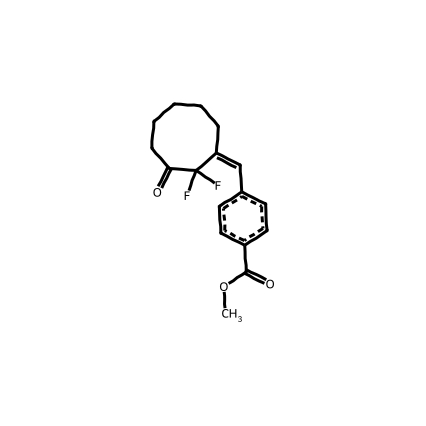 COC(=O)c1ccc(C=C2CCCCCC(=O)C2(F)F)cc1